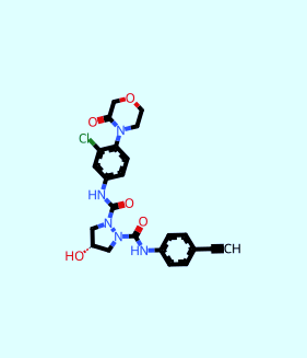 C#Cc1ccc(NC(=O)N2C[C@H](O)CN2C(=O)Nc2ccc(N3CCOCC3=O)c(Cl)c2)cc1